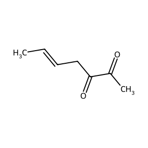 C/C=C/CC(=O)C(C)=O